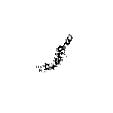 Cc1nn(Cc2ccc(F)c(C(C)C)n2)c2cccc(NC(=O)c3cnc4cc(OCCN5CCN(C)[C@@H](C)C5)ccn34)c12